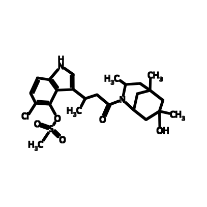 CC(CC(=O)N1C(C)CC2(C)CC1CC(C)(O)C2)c1c[nH]c2ccc(Cl)c(OS(C)(=O)=O)c12